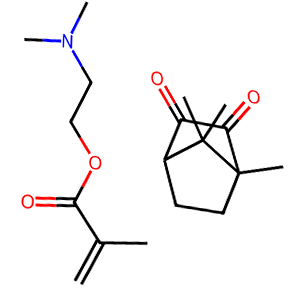 C=C(C)C(=O)OCCN(C)C.CC12CCC(C(=O)C1=O)C2(C)C